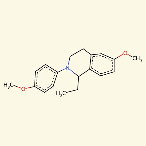 CCC1c2ccc(OC)cc2CCN1c1ccc(OC)cc1